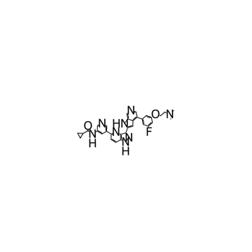 CN(C)CCOc1cc(F)cc(-c2cncc3[nH]c(-c4n[nH]c5ccc(-c6cncc(NC(=O)C7CC7)c6)nc45)cc23)c1